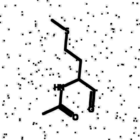 CSCCC([C]=O)NC(C)=O